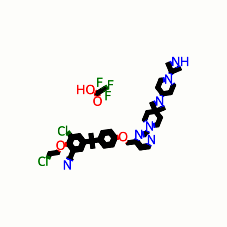 CC(C)(c1ccc(OCc2ccnc(N3CCC4(CC3)CN(C3CCN(C5CNC5)CC3)C4)n2)cc1)c1cc(Cl)c(OCCCl)c(C#N)c1.O=C(O)C(F)(F)F